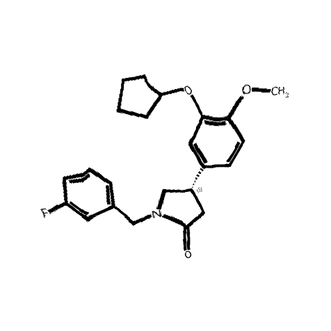 COc1ccc([C@@H]2CC(=O)N(Cc3cccc(F)c3)C2)cc1OC1CCCC1